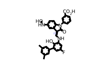 Cc1cc(C)cc(-c2cc(F)cc(N/C=C3\C(=O)N(c4cccc(C(=O)O)c4)c4ccc(NO)cc43)c2O)c1